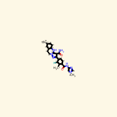 Cc1c(C(=O)Nc2cn(C)cn2)ccc(-c2nn3c(c2C(N)=O)Nc2ccc(C(C)(C)C)cc2CC3)c1F